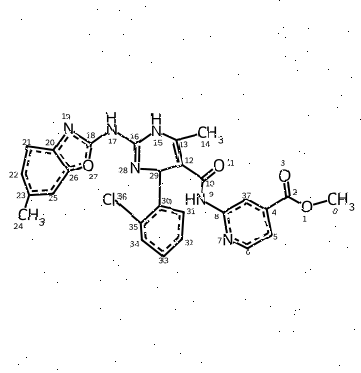 COC(=O)c1ccnc(NC(=O)C2=C(C)NC(Nc3nc4ccc(C)cc4o3)=NC2c2ccccc2Cl)c1